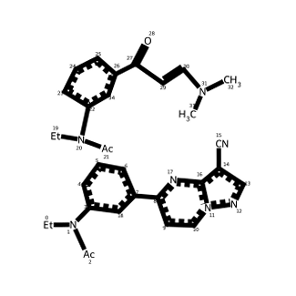 CCN(C(C)=O)c1cccc(-c2ccn3ncc(C#N)c3n2)c1.CCN(C(C)=O)c1cccc(C(=O)C=CN(C)C)c1